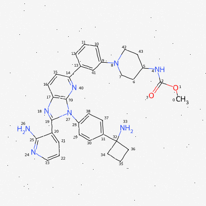 COC(=O)NC1CCN(c2cccc(-c3ccc4nc(-c5cccnc5N)n(-c5ccc(C6(N)CCC6)cc5)c4n3)c2)CC1